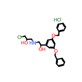 Cl.OC(CCl)CNCC(O)c1cc(OCc2ccccc2)cc(OCc2ccccc2)c1